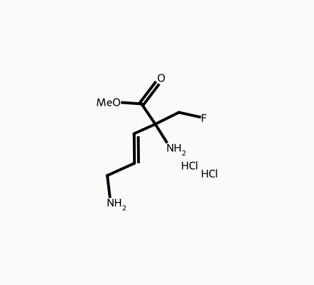 COC(=O)C(N)(C=CCN)CF.Cl.Cl